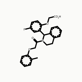 Cc1ccccc1OCC(=O)N1CCc2ccccc2C1c1cc(F)ccc1OCC(=O)O